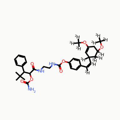 [2H]C(=C([2H])C1([2H])C=C(OC([2H])([2H])[2H])CC([2H])(OC([2H])([2H])[2H])C1([2H])[2H])c1ccc(OC(=O)NCCNC(=O)C(OC(N)=O)C(c2ccccc2)C(C)(C)C)cc1